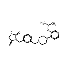 CC(C)Oc1ccccc1N1CCN(Cc2cccc(CN3C(=O)CNC3=O)c2)CC1